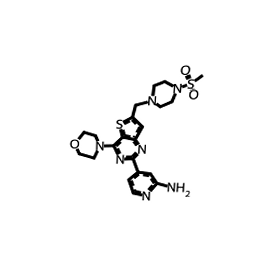 CS(=O)(=O)N1CCN(Cc2cc3nc(-c4ccnc(N)c4)nc(N4CCOCC4)c3s2)CC1